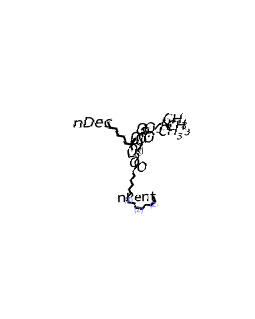 CCCCC/C=C\C/C=C\C/C=C\CCCCCCC(=O)OC[C@H](COP(=O)([O-])OCC[N+](C)(C)C)OC(=O)CCCCCCCCCCCCCCC